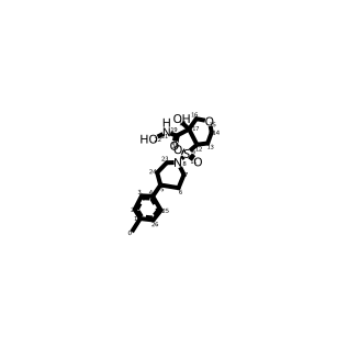 Cc1ccc(C2CCN(S(=O)(=O)C3CCOCC3(O)C(=O)NO)CC2)cc1